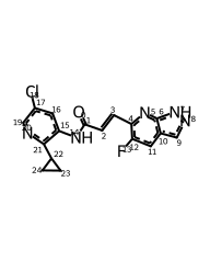 O=C(/C=C/c1nc2[nH]ncc2cc1F)Nc1cc(Cl)cnc1C1CC1